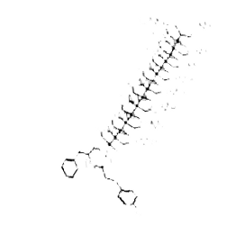 COCC(C)C(C)(COC)C(C)(COC)C(C)(COC)C(C)(COC)C(C)(COC)C(C)(COC)C(C)(COC)C(C)(COC)C(C)(COC)C(C)(COC)C(C)(COC)C(C)(COC)C(C)(COC)C(C)(COC)C(C)(COC)OCC(Cc1ccccc1)NC(=O)CCc1ccc(O)cc1